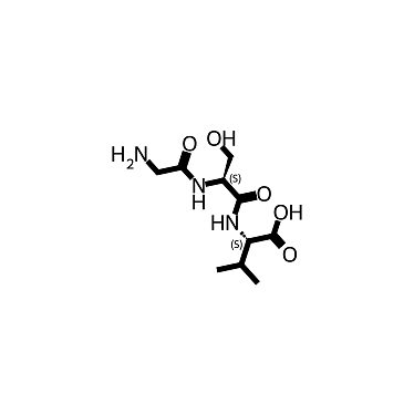 CC(C)[C@H](NC(=O)[C@H](CO)NC(=O)CN)C(=O)O